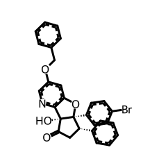 O=C1C[C@@H](c2ccccc2)[C@]2(c3ccc(Br)cc3)Oc3cc(OCc4ccccc4)cnc3[C@]12O